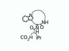 CC(C)CC(CC(=O)O)C(=O)N[C@H]1Cc2cn(c3ccccc23)CCCCCCCNC1=O